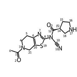 CC(=O)N1CCc2nc(N(C#N)C(=O)[C@H]3CCNC3)sc2C1